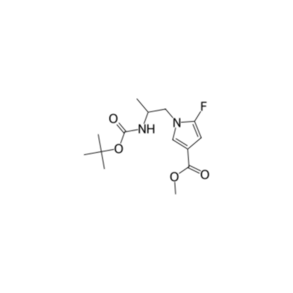 COC(=O)c1cc(F)n(CC(C)NC(=O)OC(C)(C)C)c1